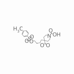 Cc1ccc(S(=O)(=O)OCC[C@H]2CC3(CCN(C(=O)O)CC3)C(=O)O2)cc1